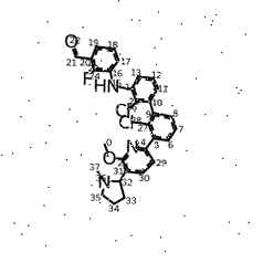 COc1nc(-c2cccc(-c3cccc(Nc4cccc(C=O)c4F)c3Cl)c2Cl)ccc1C1CCCN1C